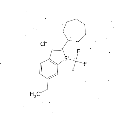 CCc1ccc2cc(C3CCCCCC3)[s+](C(F)(F)F)c2c1.[Cl-]